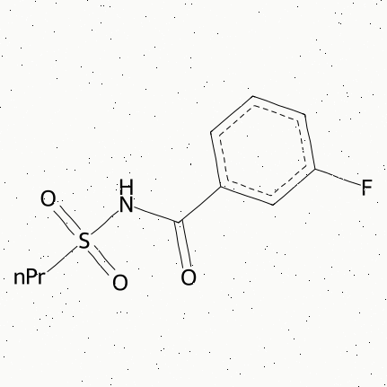 CCCS(=O)(=O)NC(=O)c1cccc(F)c1